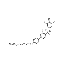 COCCCCCCOc1ccc(-c2ccc(C(F)(F)Oc3cc(F)c(F)c(F)c3)c(F)c2)cc1